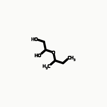 CCC(C)OC(O)CO